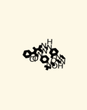 Cc1cc(Nc2ncc3c(C)c(-c4ccccc4Cl)c(=O)n(C4CCC(N(C(=O)O)C(C)(C)C)CC4)c3n2)ccc1N1CCN(C)CC1